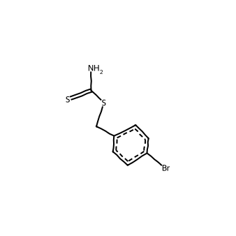 NC(=S)SCc1ccc(Br)cc1